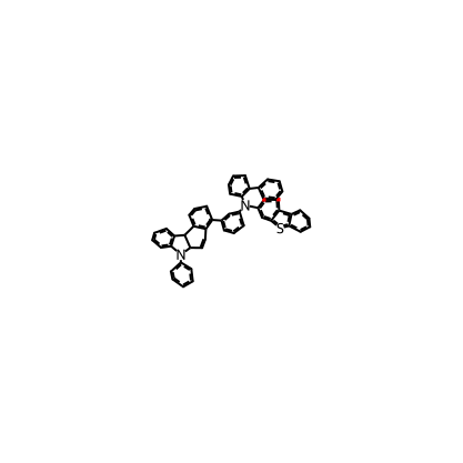 C1=CC2C(c3ccccc3N2c2ccccc2)c2cccc(-c3cccc(N(c4ccc5c(c4)sc4ccccc45)c4ccccc4-c4ccccc4)c3)c21